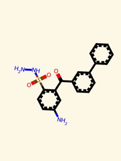 NNS(=O)(=O)c1ccc(N)cc1C(=O)c1cccc(-c2ccccc2)c1